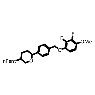 CCCCCC1CCC(c2ccc(COc3ccc(OC)c(F)c3F)cc2)OC1